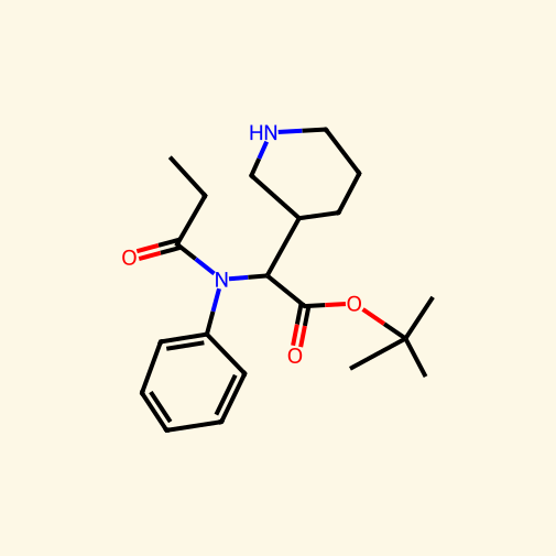 CCC(=O)N(c1ccccc1)C(C(=O)OC(C)(C)C)C1CCCNC1